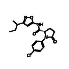 CCC(C)c1cc(NC(=O)[C@@H]2CCC(=O)N2c2ccc(Cl)cc2)on1